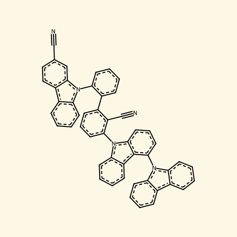 N#Cc1ccc2c3ccccc3n(-c3ccccc3-c3cccc(-n4c5ccccc5c5c(-n6c7ccccc7c7ccccc76)cccc54)c3C#N)c2c1